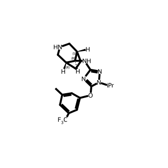 Cc1cc(Oc2nc(N[C@H]3[C@@H]4CC[C@H]3CNC4)nn2C(C)C)cc(C(F)(F)F)c1